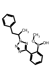 COB(O)c1ccccc1-c1nnn(C(C)Cc2ccccc2)n1